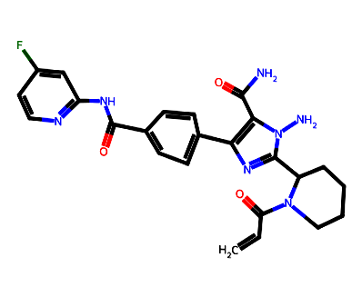 C=CC(=O)N1CCCCC1c1nc(-c2ccc(C(=O)Nc3cc(F)ccn3)cc2)c(C(N)=O)n1N